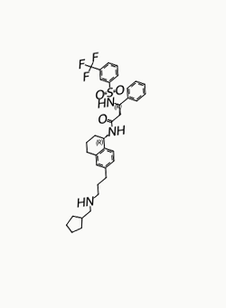 O=C(C[C@@H](NS(=O)(=O)c1cccc(C(F)(F)F)c1)c1ccccc1)N[C@@H]1CCCc2cc(CCCNCC3CCCC3)ccc21